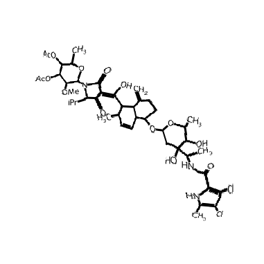 C=C1CCC(OC2CC(O)(C(C)NC(=O)c3[nH]c(C)c(Cl)c3Cl)C(O)C(C)O2)C2C=CC(C)C(/C(O)=C3\C(=O)C(C(C)C)N(C4OC(C)C(OC(C)=O)C(OC(C)=O)C4OC)C3=O)C12